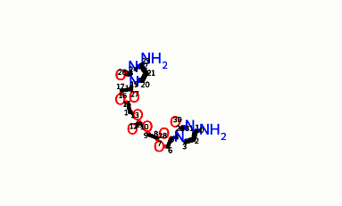 Nc1ccn(C2COC(COC(=O)OCC3OCC(n4ccc(N)nc4=O)O3)O2)c(=O)n1